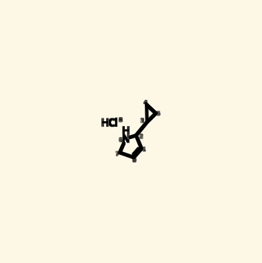 C1=CC(C2CC2)NC1.Cl